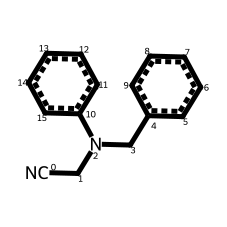 N#CCN(Cc1ccccc1)c1[c]cccc1